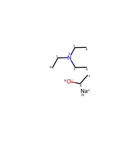 CCN(CC)CC.CC[O-].[Na+]